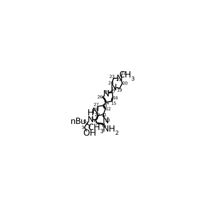 CCCC[C@](C)(CO)Nc1cc(N)nc2cc(-c3ccc(N4CCN(C)CC4)nc3)cnc12